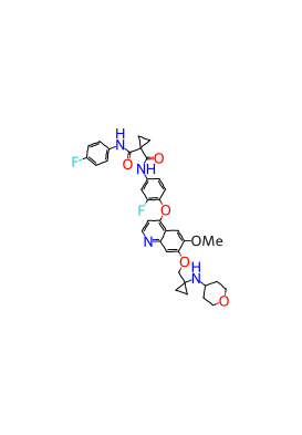 COc1cc2c(Oc3ccc(NC(=O)C4(C(=O)Nc5ccc(F)cc5)CC4)cc3F)ccnc2cc1OCC1(NC2CCOCC2)CC1